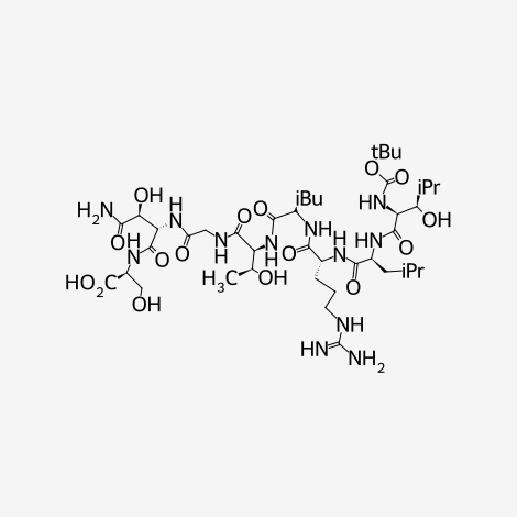 CC[C@H](C)C(NC(=O)[C@@H](CCCNC(=N)N)NC(=O)[C@H](CC(C)C)NC(=O)[C@@H](NC(=O)OC(C)(C)C)[C@H](O)C(C)C)C(=O)N[C@H](C(=O)NCC(=O)N[C@H](C(=O)N[C@@H](CO)C(=O)O)[C@H](O)C(N)=O)[C@H](C)O